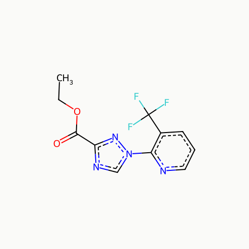 CCOC(=O)c1ncn(-c2ncccc2C(F)(F)F)n1